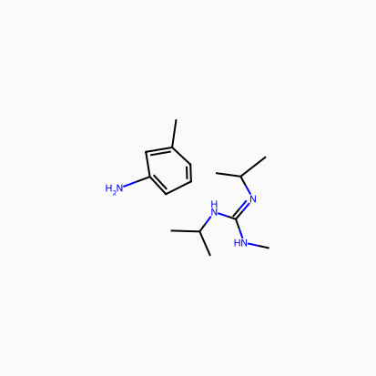 CNC(=NC(C)C)NC(C)C.Cc1cccc(N)c1